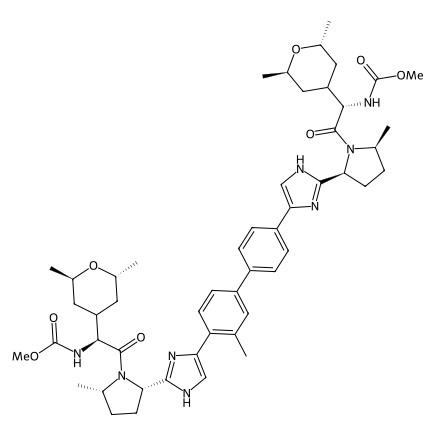 COC(=O)N[C@H](C(=O)N1[C@@H](C)CC[C@H]1c1nc(-c2ccc(-c3ccc(-c4c[nH]c([C@@H]5CC[C@H](C)N5C(=O)[C@@H](NC(=O)OC)C5C[C@@H](C)O[C@H](C)C5)n4)c(C)c3)cc2)c[nH]1)C1C[C@@H](C)O[C@H](C)C1